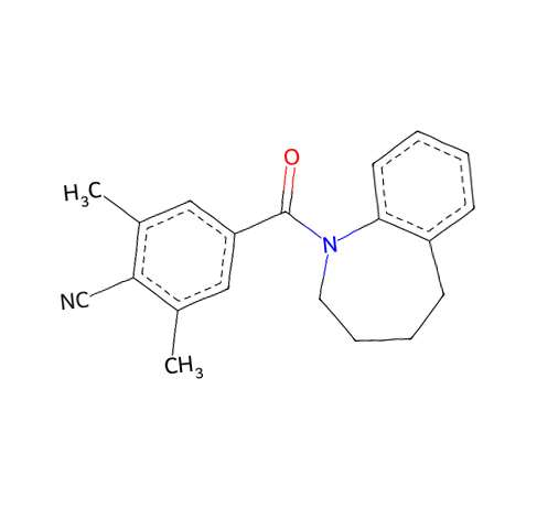 Cc1cc(C(=O)N2CCCCc3ccccc32)cc(C)c1C#N